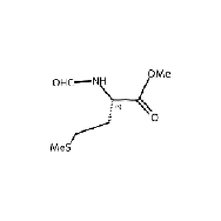 COC(=O)[C@H](CCSC)NC=O